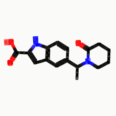 CC(c1ccc2[nH]c(C(=O)O)cc2c1)N1CCCCC1=O